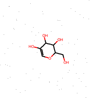 OCC1OC=C(O)C(O)C1O